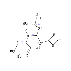 CC\C=C/C(=C\CCC)C(/C)=C(/N=C(\C(C)CC)C(F)(F)F)C(=O)C1CCC1